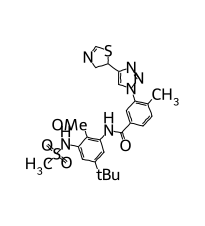 COc1c(NC(=O)c2ccc(C)c(-n3cc(C4CN=CS4)nn3)c2)cc(C(C)(C)C)cc1NS(C)(=O)=O